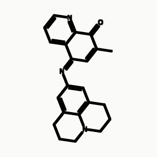 CC1=CC(=Nc2cc3c4c(c2)CCCN4CCC3)c2cccnc2C1=O